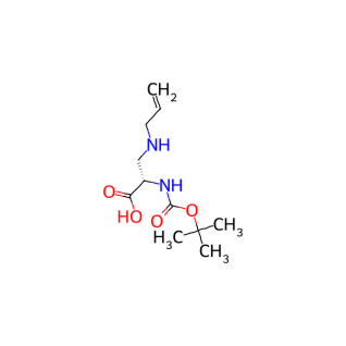 C=CCNC[C@H](NC(=O)OC(C)(C)C)C(=O)O